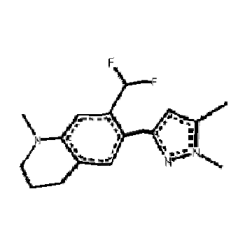 Cc1cc(-c2cc3c(cc2C(F)F)N(C)CCC3)nn1C